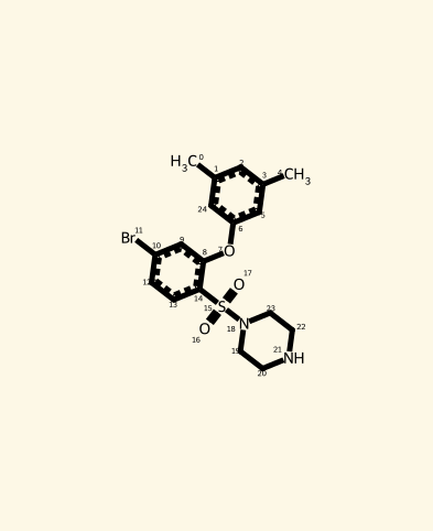 Cc1cc(C)cc(Oc2cc(Br)ccc2S(=O)(=O)N2CCNCC2)c1